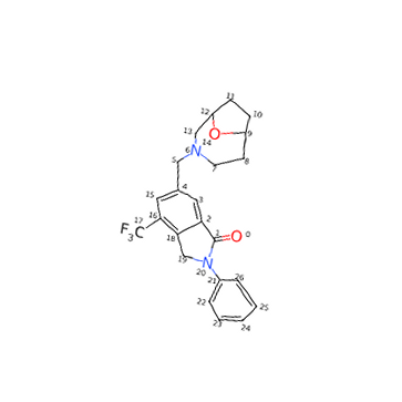 O=C1c2cc(CN3CCC4CCC(C3)O4)cc(C(F)(F)F)c2CN1c1ccccc1